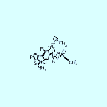 CC#CC(=O)N1CC(Nc2nc(OC[C@@H]3CCCN3C)nc3c(F)c(-c4ccc(F)c5sc(N)nc45)c(Cl)cc23)C1